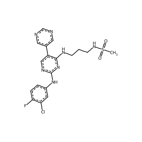 CS(=O)(=O)NCCCNc1nc(Nc2ccc(F)c(Cl)c2)ncc1-c1cncnc1